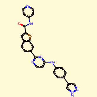 O=C(Nc1ccncc1)c1cc2ccc(-c3nccc(Nc4ccc(-c5cn[nH]c5)cc4)n3)cc2s1